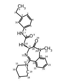 CCc1cccc(NC(=O)N[C@@H]2N=C(N3CCCCC3)c3ccccc3N(C)C2=O)c1